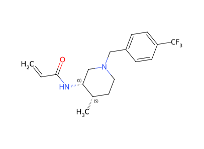 C=CC(=O)N[C@@H]1CN(Cc2ccc(C(F)(F)F)cc2)CC[C@@H]1C